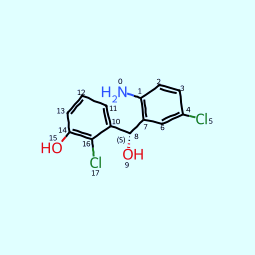 Nc1ccc(Cl)cc1[C@H](O)c1cccc(O)c1Cl